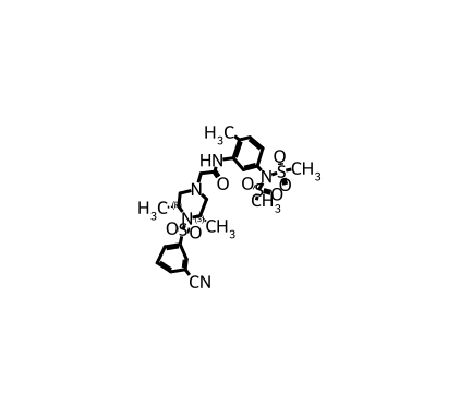 Cc1ccc(N(S(C)(=O)=O)S(C)(=O)=O)cc1NC(=O)CN1C[C@@H](C)N(S(=O)(=O)c2cccc(C#N)c2)[C@@H](C)C1